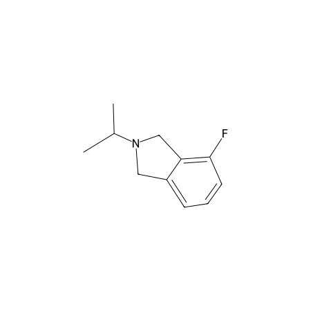 CC(C)N1Cc2cccc(F)c2C1